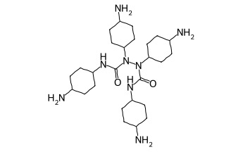 NC1CCC(NC(=O)N(C2CCC(N)CC2)N(C(=O)NC2CCC(N)CC2)C2CCC(N)CC2)CC1